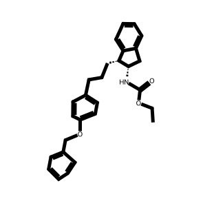 CCOC(=O)N[C@H]1Cc2ccccc2[C@H]1CCCc1ccc(OCc2ccccc2)cc1